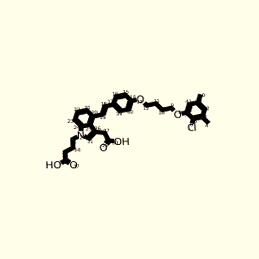 Cc1cc(C)c(Cl)c(OCCCCOc2ccc(/C=C/c3cccc4c3c(CC(=O)O)cn4CCCC(=O)O)cc2)c1